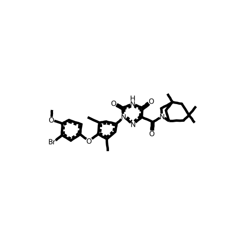 COc1ccc(Oc2c(C)cc(-n3nc(C(=O)N4CC5(C)CC4CC(C)(C)C5)c(=O)[nH]c3=O)cc2C)cc1Br